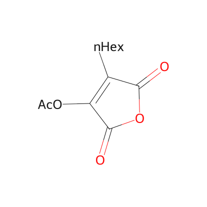 CCCCCCC1=C(OC(C)=O)C(=O)OC1=O